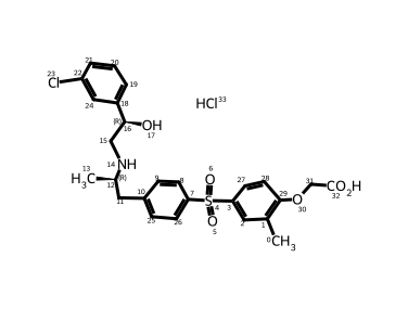 Cc1cc(S(=O)(=O)c2ccc(C[C@@H](C)NC[C@H](O)c3cccc(Cl)c3)cc2)ccc1OCC(=O)O.Cl